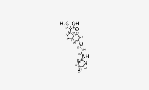 CCC(C(=O)O)[C@@H]1CCc2cc(OCCCNc3ncc(Br)cn3)ccc21